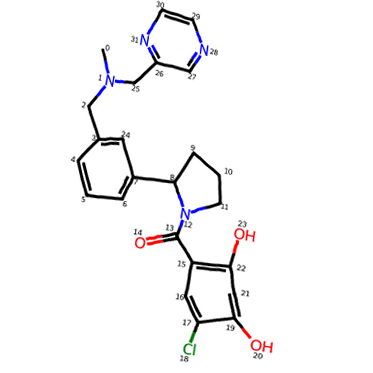 CN(Cc1cccc(C2CCCN2C(=O)c2cc(Cl)c(O)cc2O)c1)Cc1cnccn1